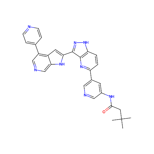 CC(C)(C)CC(=O)Nc1cncc(-c2ccc3[nH]nc(-c4cc5c(-c6ccncc6)cncc5[nH]4)c3n2)c1